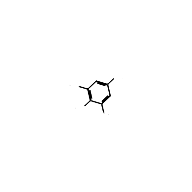 CC(=O)Oc1cc(C)cc(OC(C)=O)c1OC(C)=O